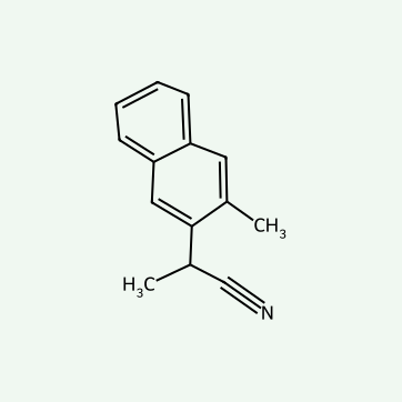 Cc1cc2ccccc2cc1C(C)C#N